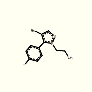 OCCn1ncc(Br)c1-c1ccc(F)cc1